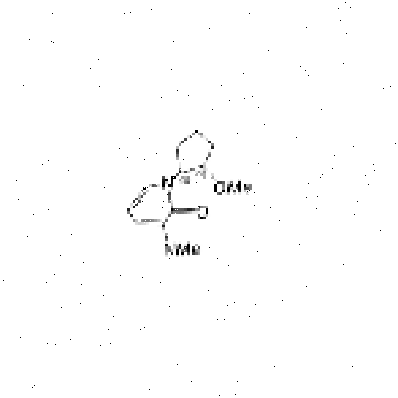 CNc1cccn([C@H]2CCC[C@@H]2OC)c1=O